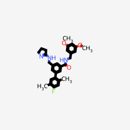 COc1cc(CNC(=O)c2cc(CNC3=NCCC3)cc(-c3cc(C)c(F)cc3C)c2)cc(OC)c1